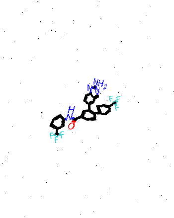 Nc1ncc2cc(-c3cc(C(=O)Nc4cccc(C(F)(F)F)c4)ccc3-c3ccc(C(F)(F)F)cc3)ccc2n1